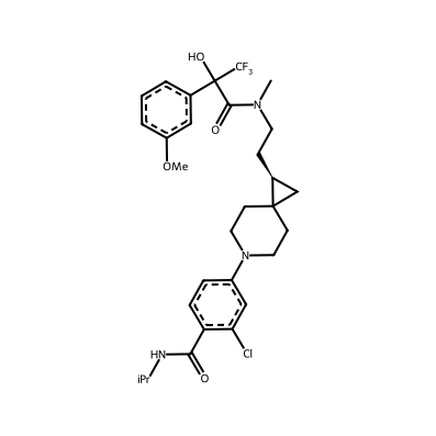 COc1cccc(C(O)(C(=O)N(C)CC[C@H]2CC23CCN(c2ccc(C(=O)NC(C)C)c(Cl)c2)CC3)C(F)(F)F)c1